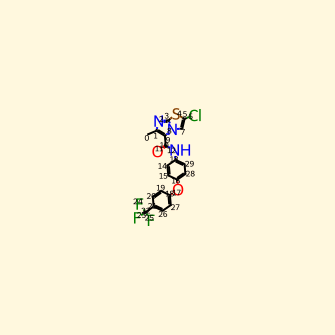 Cc1nc2sc(Cl)cn2c1C(=O)Nc1ccc(Oc2ccc(C(F)(F)F)cc2)cc1